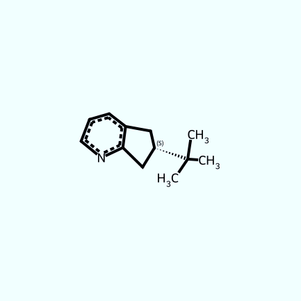 CC(C)(C)[C@H]1Cc2cccnc2C1